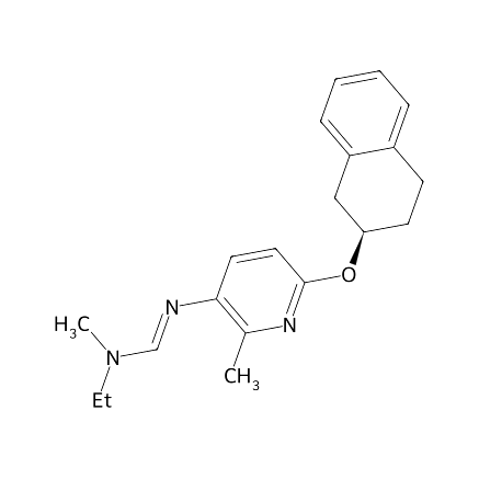 CCN(C)/C=N/c1ccc(O[C@@H]2CCc3ccccc3C2)nc1C